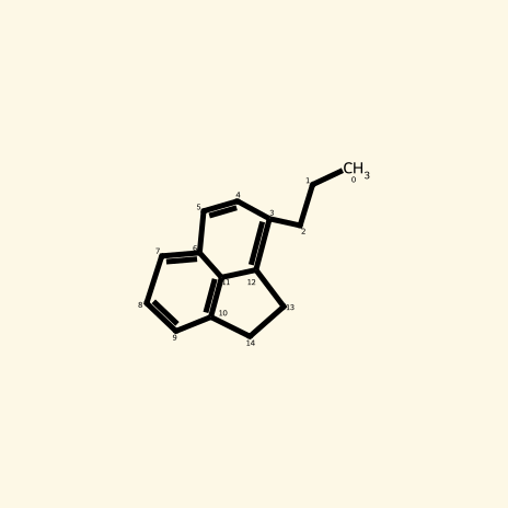 CCCc1ccc2cccc3c2c1CC3